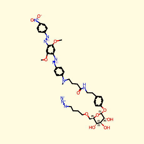 COc1cc(/N=N/c2ccc([N+](=O)[O-])cc2)c(OC)cc1/N=N/c1ccc(N(C)CCCC(=O)NCCc2ccc(O[C@@H]3O[C@H](COCCCCN=[N+]=[N-])[C@@H](O)[C@H](O)[C@H]3O)cc2)cc1